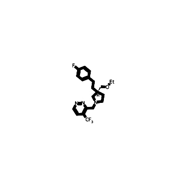 CCOC[C@]1(CCc2ccc(F)cc2)CCN(Cc2nnccc2C(F)(F)F)C1